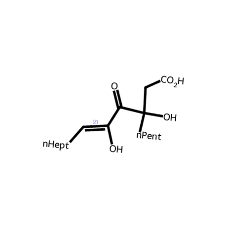 CCCCCCC/C=C(\O)C(=O)C(O)(CCCCC)CC(=O)O